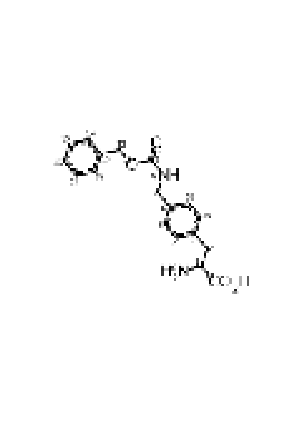 NC(Cc1ccc(CNC(=O)OCc2ccccc2)cc1)C(=O)O